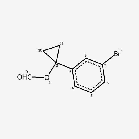 O=COC1(c2cccc(Br)c2)CC1